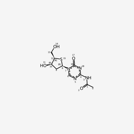 CC(=O)Nc1ncn([C@H]2C[C@@H](O)[C@@H](CO)S2)c(=O)n1